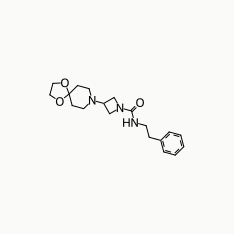 O=C(NCCc1ccccc1)N1CC(N2CCC3(CC2)OCCO3)C1